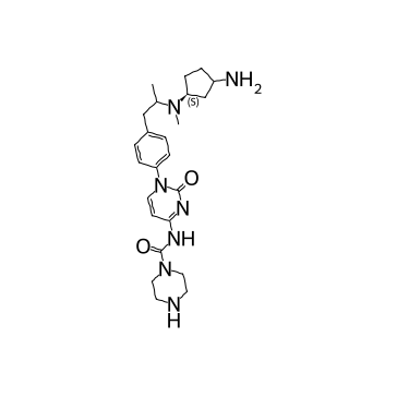 CC(Cc1ccc(-n2ccc(NC(=O)N3CCNCC3)nc2=O)cc1)N(C)[C@H]1CCC(N)C1